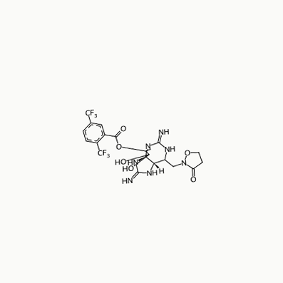 N=C1N[C@H]2C(CN3OCCC3=O)NC(=N)N3CC(OC(=O)c4cc(C(F)(F)F)ccc4C(F)(F)F)C(O)(O)[C@]23N1